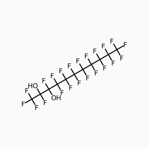 OC(F)(C(F)(F)F)C(O)(F)C(F)(F)C(F)(F)C(F)(F)C(F)(F)C(F)(F)C(F)(F)C(F)(F)C(F)(F)F